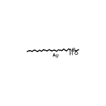 CCCCCCCCCCCCCCCCCCNOC(C)=O.[Ag]